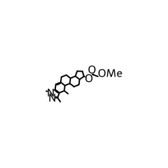 COCC(=O)OC1CCC2C1CCC1C2CCC2=Cc3c(c(C)nn3C)C(C)C21